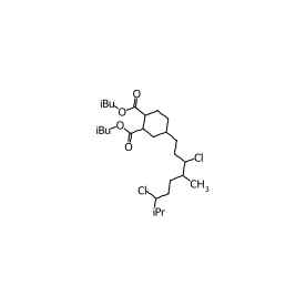 CCC(C)OC(=O)C1CCC(CCC(Cl)C(C)CCC(Cl)C(C)C)CC1C(=O)OC(C)CC